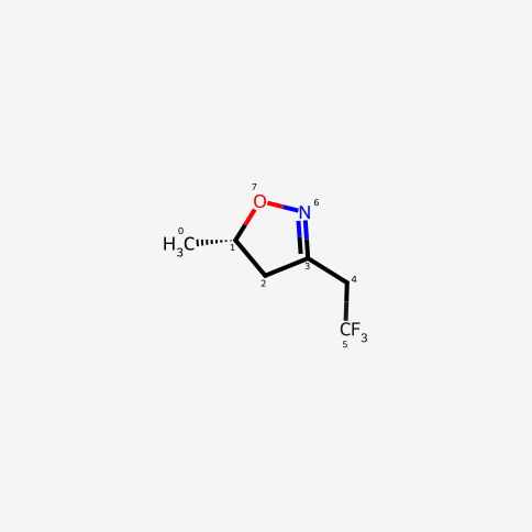 C[C@H]1CC(CC(F)(F)F)=NO1